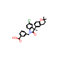 CC1(C)CCc2cc([C@]3(C)C(=O)N(Cc4cccc(C(=O)O)c4)c4ccc(Cl)cc43)ccc2O1